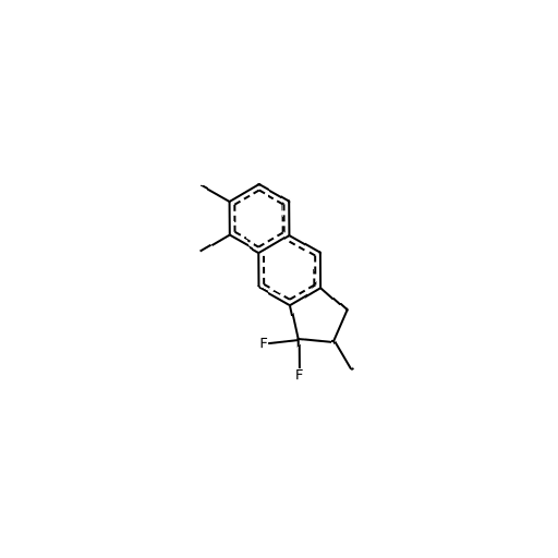 Cc1ccc2cc3c(cc2c1C)C(F)(F)C(C)C3